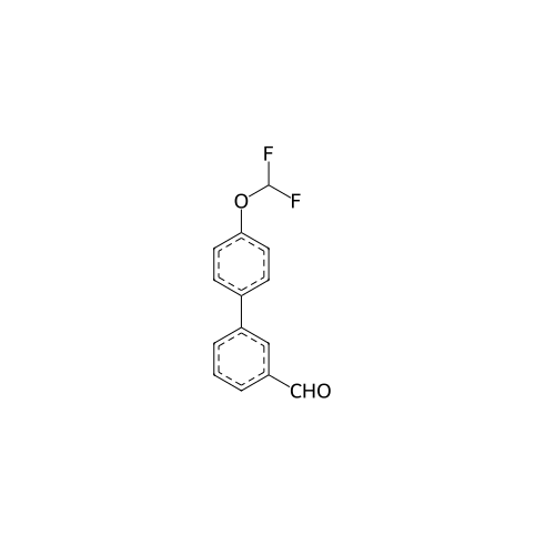 O=Cc1cccc(-c2ccc(OC(F)F)cc2)c1